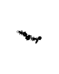 N#C/N=C(\NCc1cnc(-n2ccc3c(-c4cccc(NC(=O)CCCl)c4)cccc32)s1)Nc1ccncc1